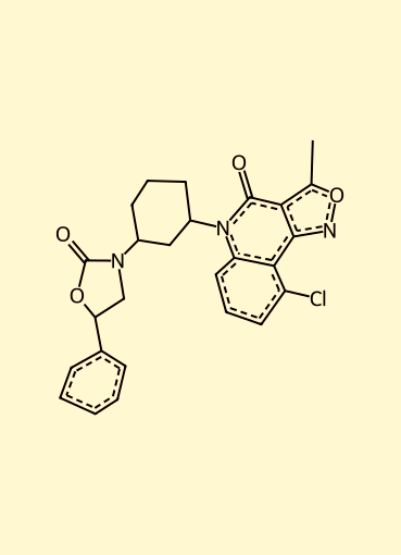 Cc1onc2c1c(=O)n(C1CCCC(N3CC(c4ccccc4)OC3=O)C1)c1cccc(Cl)c21